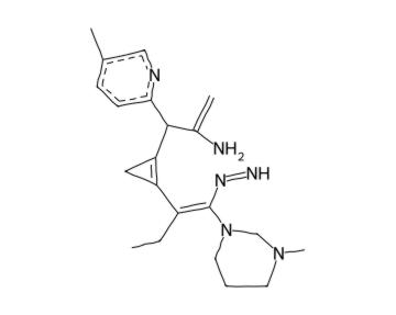 C=C(N)C(C1=C(/C(CC)=C(\N=N)N2CCCN(C)C2)C1)c1ccc(C)cn1